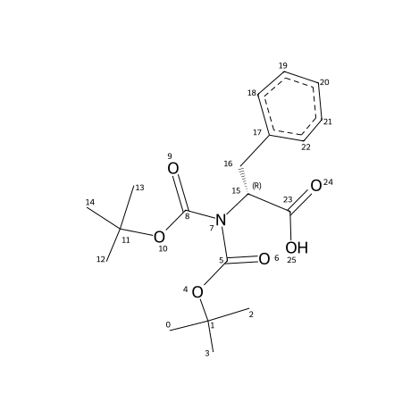 CC(C)(C)OC(=O)N(C(=O)OC(C)(C)C)[C@H](Cc1ccccc1)C(=O)O